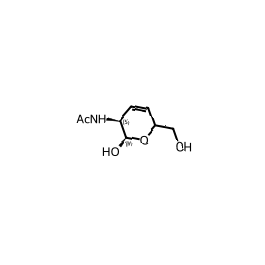 CC(=O)N[C@H]1C=CC(CO)O[C@H]1O